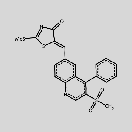 CSC1=NC(=O)/C(=C/c2ccc3ncc(S(C)(=O)=O)c(-c4ccccc4)c3c2)S1